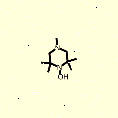 CN1CC(C)(C)N(O)C(C)(C)C1